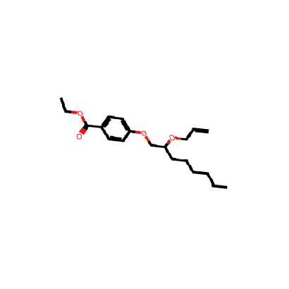 C=CCOC(CCCCCC)COc1ccc(C(=O)OCC)cc1